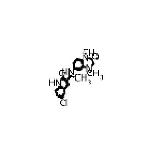 C[C@H](Nc1ccc2c(c1)N(C)CC(=O)N2C)c1cc2cc(Cl)ccc2[nH]c1=O